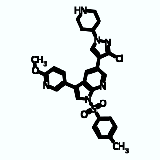 COc1ccc(-c2cn(S(=O)(=O)c3ccc(C)cc3)c3ncc(-c4cn(C5CCNCC5)nc4Cl)cc23)cn1